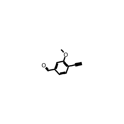 C#Cc1ccc(C=O)cc1OC